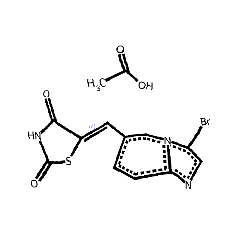 CC(=O)O.O=C1NC(=O)/C(=C/c2ccc3ncc(Br)n3c2)S1